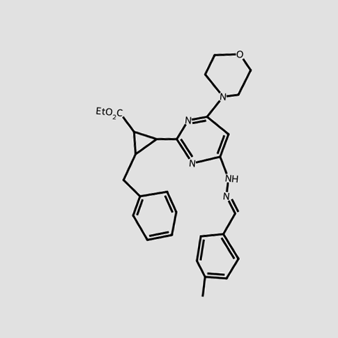 CCOC(=O)C1C(Cc2ccccc2)C1c1nc(N/N=C/c2ccc(C)cc2)cc(N2CCOCC2)n1